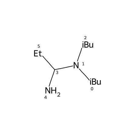 CCC(C)N(C(C)CC)C(N)CC